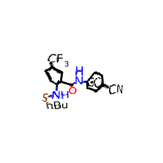 CCCCSNc1ccc(C(F)(F)F)cc1C(=O)NC12CCC(C#N)(CC1)CC2